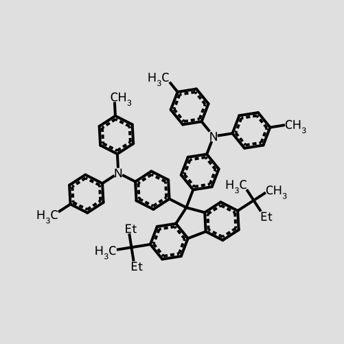 CCC(C)(C)c1ccc2c(c1)C(c1ccc(N(c3ccc(C)cc3)c3ccc(C)cc3)cc1)(c1ccc(N(c3ccc(C)cc3)c3ccc(C)cc3)cc1)c1cc(C(C)(CC)CC)ccc1-2